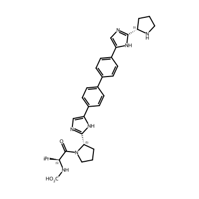 CC(C)[C@H](NC(=O)O)C(=O)N1CCC[C@H]1c1ncc(-c2ccc(-c3ccc(-c4cnc([C@@H]5CCCN5)[nH]4)cc3)cc2)[nH]1